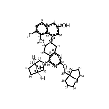 CCc1c(F)ccc2cc(O)cc(N3CCc4c(nc(OCC56CCCN5CCC6)nc4N4C[C@H]5CC[C@@H](C4)N5)C3)c12